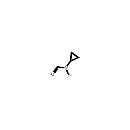 O=C[S+]([O-])C1CC1